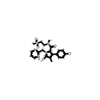 Cc1c(-c2ccc(Cl)cc2)c(C(=O)N(C)CCS(C)(=O)=O)n(Cc2ncccn2)c1C(F)(F)F